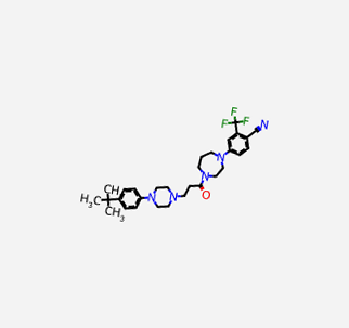 CC(C)(C)c1ccc(N2CCN(CCC(=O)N3CCCN(c4ccc(C#N)c(C(F)(F)F)c4)CC3)CC2)cc1